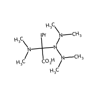 CC(C)C(C(=O)O)(N(C)C)N(N(C)C)N(C)C